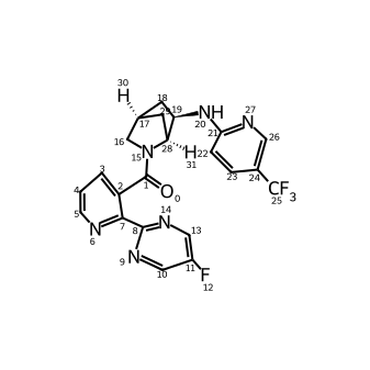 O=C(c1cccnc1-c1ncc(F)cn1)N1C[C@H]2C[C@@H](Nc3ccc(C(F)(F)F)cn3)[C@@H]1C2